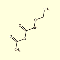 CCONC(=O)OC(C)=O